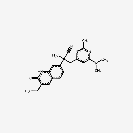 CCc1cc2ccc(C(C)(C#N)Cc3cc(N(C)C)nc(C)n3)cc2[nH]c1=O